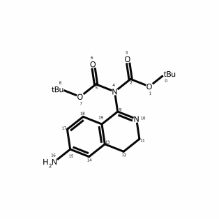 CC(C)(C)OC(=O)N(C(=O)OC(C)(C)C)C1=NCCc2cc(N)ccc21